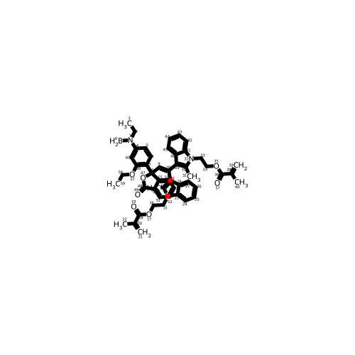 BN(CC)c1ccc(C2(C=C(c3c(C)n(CCOC(=O)C(=C)C)c4ccccc34)c3c(C)n(CCOC(=O)C(=C)C)c4ccccc34)OC(=O)c3ccccc32)c(OCC)c1